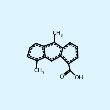 Cc1cccc2c(C)c3cccc(C(=O)O)c3cc12